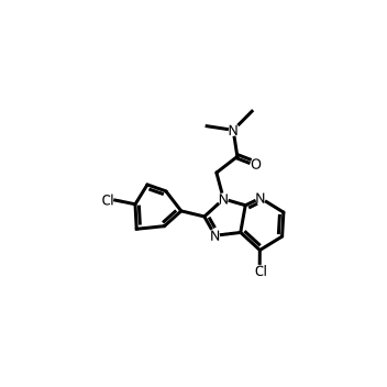 CN(C)C(=O)Cn1c(-c2ccc(Cl)cc2)nc2c(Cl)ccnc21